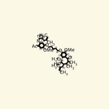 C/C=C(/C)CC(/C=N\c1cc(OCCCCCOc2cc3c(cc2OC)C(=O)C(C)C(C)C(C/C(C)=C\C)C(O)N3C)c(OC)cc1C(C)=O)CCC